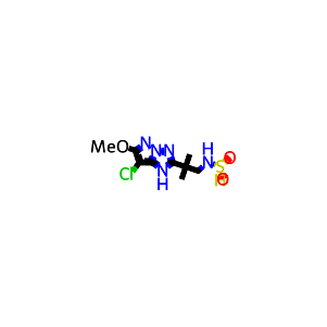 COc1nn2nc(C(C)(C)CN[SH](=O)=O)[nH]c2c1Cl